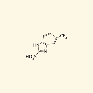 O=S(=O)(O)c1nc2cc(C(F)(F)F)ccc2[nH]1